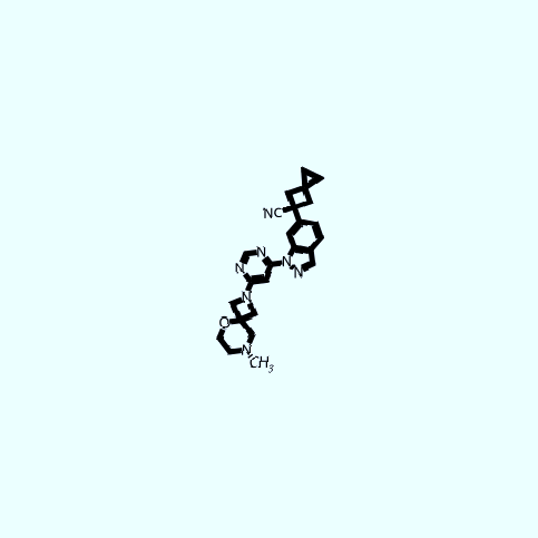 CN1CCOC2(C1)CN(c1cc(-n3ncc4ccc(C5(C#N)CC6(CC6)C5)cc43)ncn1)C2